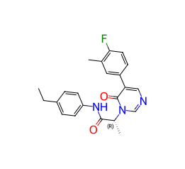 CCc1ccc(NC(=O)[C@@H](C)n2cncc(-c3ccc(F)c(C)c3)c2=O)cc1